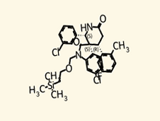 Cc1ccc(F)cc1[C@H]1CC(=O)N[C@@H](c2cccc(Cl)c2)[C@]12C(=O)N(COCC[Si](C)(C)C)c1cc(Cl)ccc12